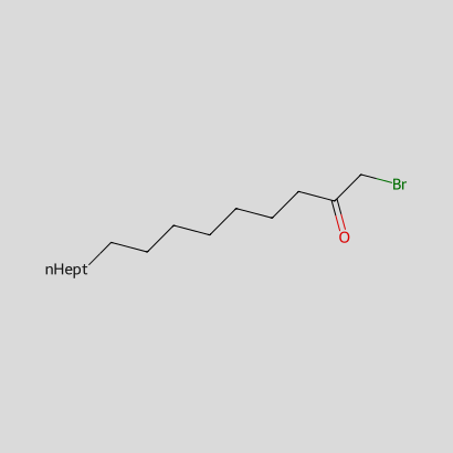 CCCCCCCCCCCCCCC(=O)CBr